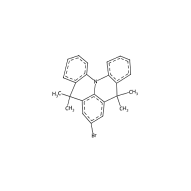 CC1(C)c2ccccc2N2c3ccccc3C(C)(C)c3cc(Br)cc1c32